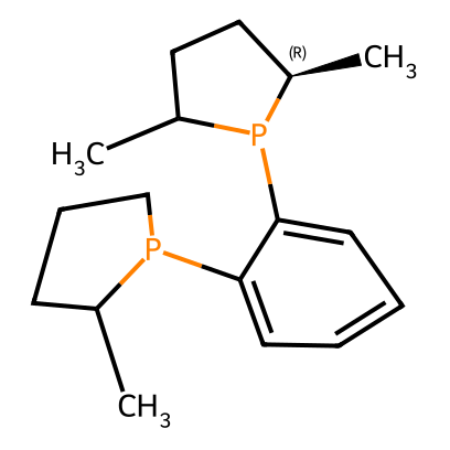 CC1CCCP1c1ccccc1P1C(C)CC[C@H]1C